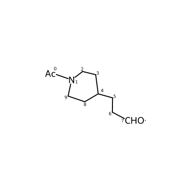 CC(=O)N1CCC(CC[C]=O)CC1